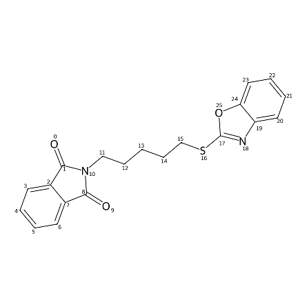 O=C1c2ccccc2C(=O)N1CCCCCSc1nc2ccccc2o1